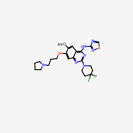 COc1cc2c(Nc3ncsn3)nc(N3CCC(F)(F)CC3)nc2cc1OCCCN1CCCC1